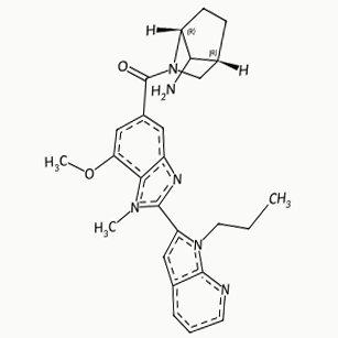 CCCn1c(-c2nc3cc(C(=O)N4C[C@H]5CC[C@@H]4C5N)cc(OC)c3n2C)cc2cccnc21